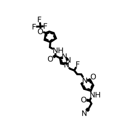 N#CCC(=O)Nc1ccn(CCC(F)Cn2cc(C(=O)NCc3cccc(OC(F)(F)F)c3)nn2)c(=O)c1